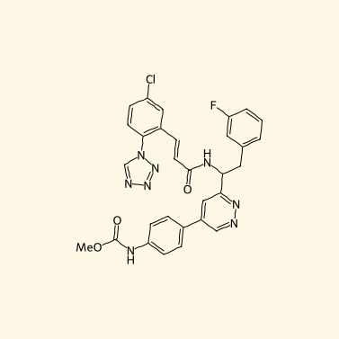 COC(=O)Nc1ccc(-c2cnnc(C(Cc3cccc(F)c3)NC(=O)/C=C/c3cc(Cl)ccc3-n3cnnn3)c2)cc1